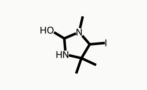 CN1C(O)NC(C)(C)C1I